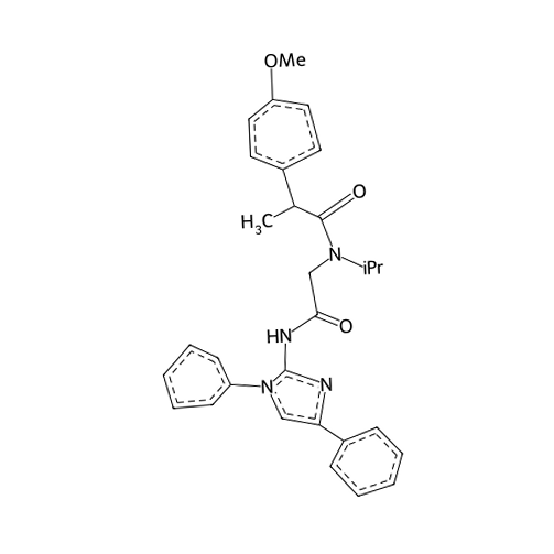 COc1ccc(C(C)C(=O)N(CC(=O)Nc2nc(-c3ccccc3)cn2-c2ccccc2)C(C)C)cc1